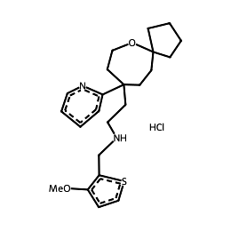 COc1ccsc1CNCCC1(c2ccccn2)CCOC2(CCCC2)CC1.Cl